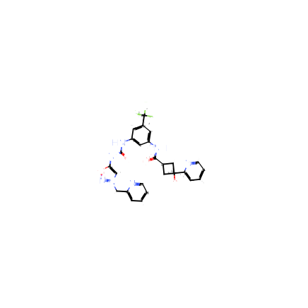 O=C([N-]c1c[n+](Cc2ccccn2)no1)Nc1cc(NC(=O)C2CC(O)(c3ccccn3)C2)cc(C(F)(F)F)c1